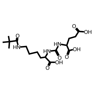 CC(C)(C)C(=O)NCCCCC(NC(=O)NC(CCC(=O)O)C(=O)O)C(=O)O